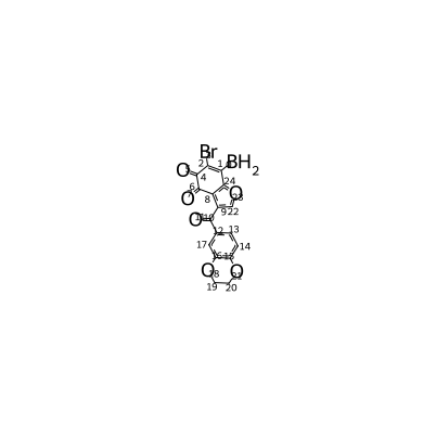 BC1=C(Br)C(=O)C(=O)c2c(C(=O)c3ccc4c(c3)OCCO4)coc21